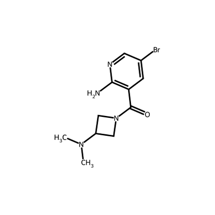 CN(C)C1CN(C(=O)c2cc(Br)cnc2N)C1